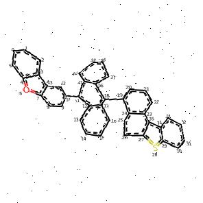 c1ccc2c(c1)oc1ccc(-c3c4ccccc4c(-c4cccc5c4ccc4sc6ccccc6c45)c4ccccc34)cc12